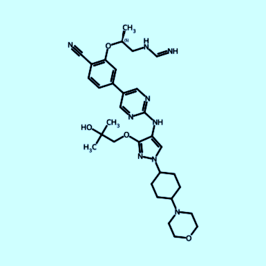 C[C@@H](CNC=N)Oc1cc(-c2cnc(Nc3cn(C4CCC(N5CCOCC5)CC4)nc3OCC(C)(C)O)nc2)ccc1C#N